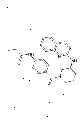 CCC(=O)Nc1ccc(C(=O)N2CCC[C@H](Nc3ncc4ccccc4n3)C2)cc1